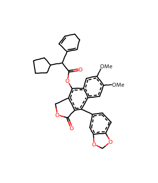 COc1cc2c(OC(=O)C(C3=CCCC=C3)C3CCCC3)c3c(c(-c4ccc5c(c4)OCO5)c2cc1OC)C(=O)OC3